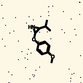 COc1ccc(OC2NC2C(C)C)cc1